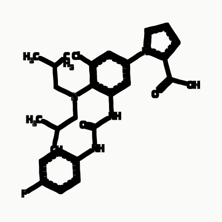 CC(C)CN(CC(C)C)c1c(Cl)cc(-n2cccc2C(=O)O)cc1NC(=O)Nc1ccc(F)cc1